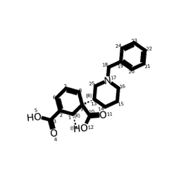 C[C@@H]1C(C(=O)O)=CC=CC1(C(=O)O)[C@H]1CCCN(Cc2ccccc2)C1